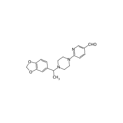 CC(c1ccc2c(c1)OCO2)N1CCN(c2ccc(C=O)cn2)CC1